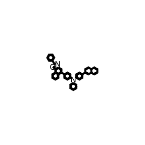 C1=CC2C=CC(c3ccc(N(c4ccccc4)c4ccc(-c5cc6nc(-c7ccccc7)oc6c6ccccc56)cc4)cc3)=CC2C=C1